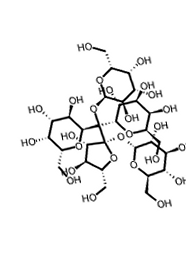 OC[C@H]1O[C@H](C(O[C@H]2O[C@H](CO)[C@H](O)[C@H](O)[C@H]2O)([C@H]2O[C@H](CO)[C@H](O)[C@H](O)[C@H]2O)[C@@]2(O[C@H]3O[C@H](CO)[C@@H](O)[C@H](O)[C@H]3O)O[C@H](CO)[C@@H](O)[C@@H]2O)[C@H](O)[C@@H](O)[C@H]1O